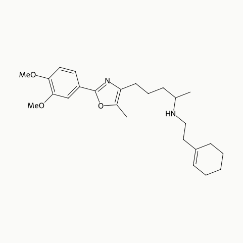 COc1ccc(-c2nc(CCCC(C)NCCC3=CCCCC3)c(C)o2)cc1OC